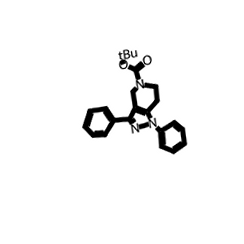 CC(C)(C)OC(=O)N1CCc2c(c(-c3ccccc3)nn2-c2ccccc2)C1